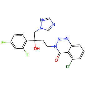 O=c1c2c(Cl)cccc2nnn1CCC(O)(Cn1cncn1)c1ccc(F)cc1F